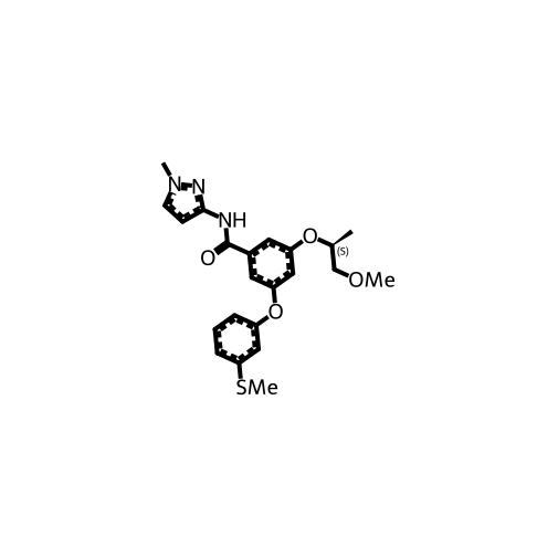 COC[C@H](C)Oc1cc(Oc2cccc(SC)c2)cc(C(=O)Nc2ccn(C)n2)c1